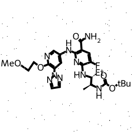 CC[C@@H](Nc1nc(Nc2cnc(OCCOC)c(-n3nccn3)c2)c(C(N)=O)cc1F)[C@H](C)NC(=O)OC(C)(C)C